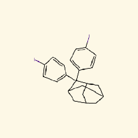 Ic1ccc(C2(c3ccc(I)cc3)C3CC4CC(C3)CC2C4)cc1